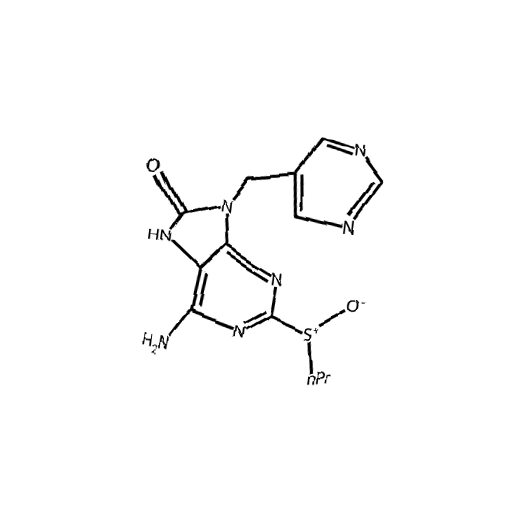 CCC[S+]([O-])c1nc(N)c2[nH]c(=O)n(Cc3cncnc3)c2n1